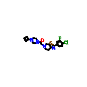 O=C(CN1CCc2nc(-c3ccc(Cl)c(F)c3)sc2C1)N1CCN(C2CCC2)CC1